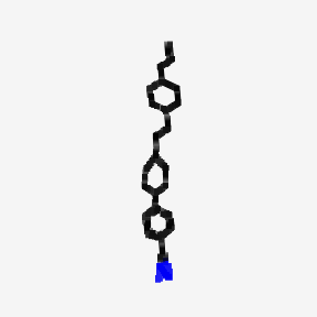 C=CCC1CCC(CCC2CCC(c3ccc(C#N)cc3)CC2)CC1